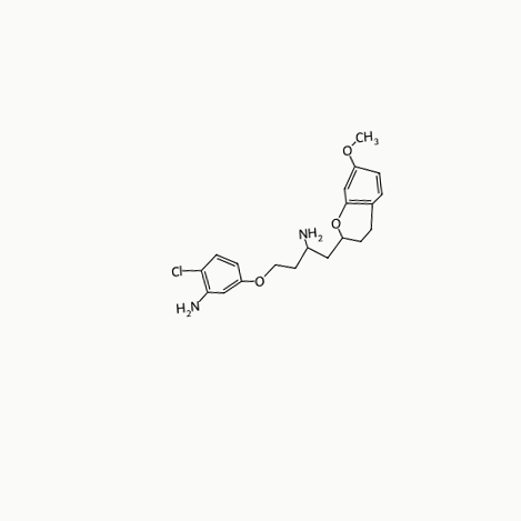 COc1ccc2c(c1)OC(CC(N)CCOc1ccc(Cl)c(N)c1)CC2